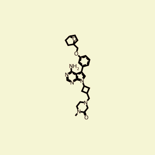 CN1CCN(CC2CC(n3cc(-c4cccc(OCC56CCC(CC5)O6)c4)c4c(N)ncnc43)C2)CC1=O